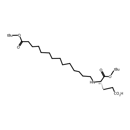 CC(C)(C)OC(=O)CCCCCCCCCCCCCN[C@@H](CCC(=O)O)C(=O)OC(C)(C)C